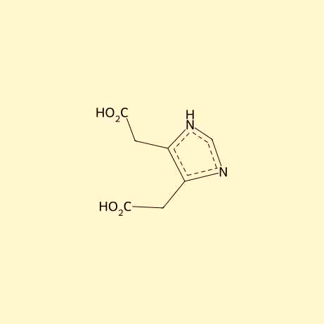 O=C(O)Cc1nc[nH]c1CC(=O)O